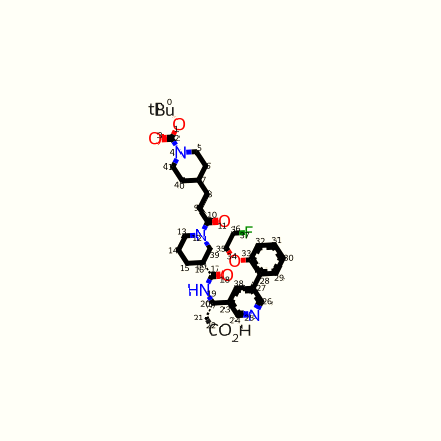 CC(C)(C)OC(=O)N1CCC(CCC(=O)N2CCC[C@@H](C(=O)N[C@@H](CC(=O)O)c3cncc(-c4ccccc4OCCF)c3)C2)CC1